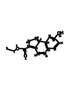 CCOC(=O)c1snc2c1nnc1ccc(O)cc12